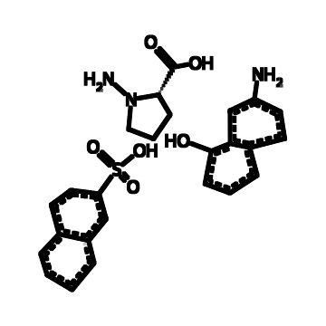 NN1CCC[C@H]1C(=O)O.Nc1ccc2cccc(O)c2c1.O=S(=O)(O)c1ccc2ccccc2c1